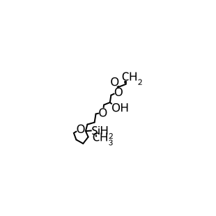 C=CC(=O)OCC(O)COCCCC1([SiH2]C)CCCCO1